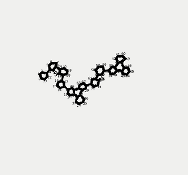 c1ccc(-c2cccc3c2sc2c(-c4cccc(-c5ccc6c7ccccc7c7cc(-c8ccc9sc%10c(-c%11ccc%12c%13ccccc%13c%13ccccc%13c%12c%11)cccc%10c9c8)ccc7c6c5)c4)cccc23)cc1